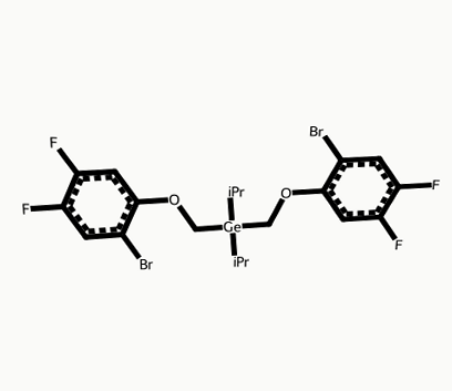 C[CH](C)[Ge]([CH2]Oc1cc(F)c(F)cc1Br)([CH2]Oc1cc(F)c(F)cc1Br)[CH](C)C